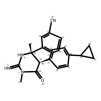 CN1C(=N)N[C@](C)(c2cc(C#N)ccn2)[C@@H](c2ccc(C3CC3)cc2)C1=O